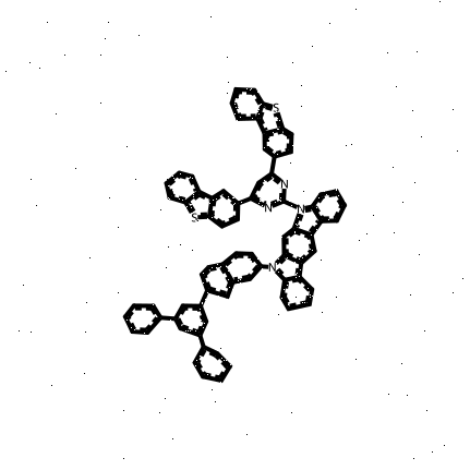 c1ccc(-c2cc(-c3ccccc3)cc(-c3ccc4ccc(-n5c6ccccc6c6cc7c8ccccc8n(-c8nc(-c9ccc%10sc%11ccccc%11c%10c9)cc(-c9ccc%10sc%11ccccc%11c%10c9)n8)c7cc65)cc4c3)c2)cc1